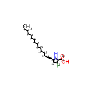 CCCCCCCCCCCCCCC#Cc1cc(F)c(C(=O)O)[nH]1